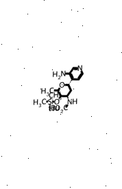 CC1O[C@H](c2ccncc2N)C[C@H](NC(=O)O)[C@H]1O[Si](C)(C)C(C)(C)C